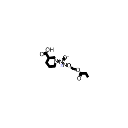 CCC(=O)OCO/N=[N+](\[O-])N1CCCC(C(=O)O)C1